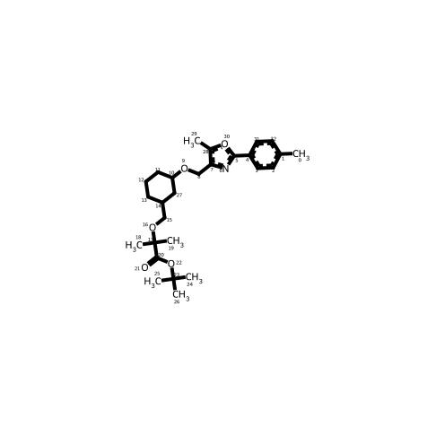 Cc1ccc(-c2nc(COC3CCCC(COC(C)(C)C(=O)OC(C)(C)C)C3)c(C)o2)cc1